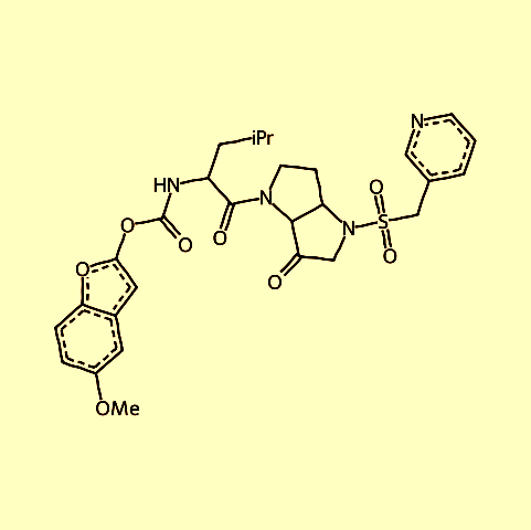 COc1ccc2oc(OC(=O)NC(CC(C)C)C(=O)N3CCC4C3C(=O)CN4S(=O)(=O)Cc3cccnc3)cc2c1